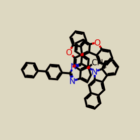 CC1C/C=C(c2cc3oc4ccccc4c3cc2-n2c3ccccc3c3cc4ccccc4cc32)/N=C(c2ccc(-c3ccccc3)cc2)\N=C/1c1cccc2oc3ccccc3c12